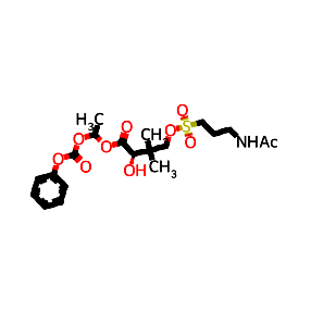 CC(=O)NCCCS(=O)(=O)OCC(C)(C)[C@@H](O)C(=O)OC(C)OC(=O)Oc1ccccc1